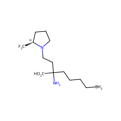 BCCCCC(N)(CCN1CCC[C@@H]1C(F)(F)F)C(=O)O